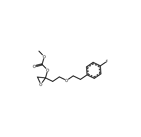 COC(=O)OC1(CCOCCc2ccc(F)cc2)CO1